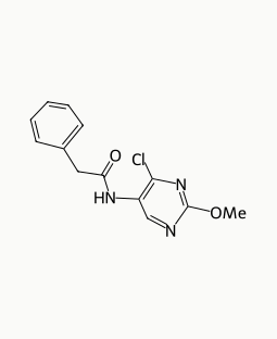 COc1ncc(NC(=O)Cc2ccccc2)c(Cl)n1